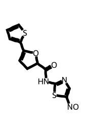 O=Nc1cnc(NC(=O)C2CC=C(c3cccs3)O2)s1